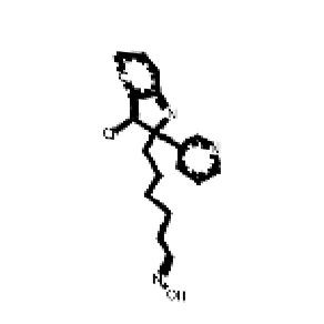 ON=CCCCCCC1(c2cccnc2)N=c2ccccc2=C1Cl